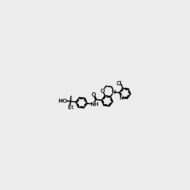 CCC(C)(O)c1ccc(NC(=O)c2cccc3c2OCCN3c2ncccc2Cl)cc1